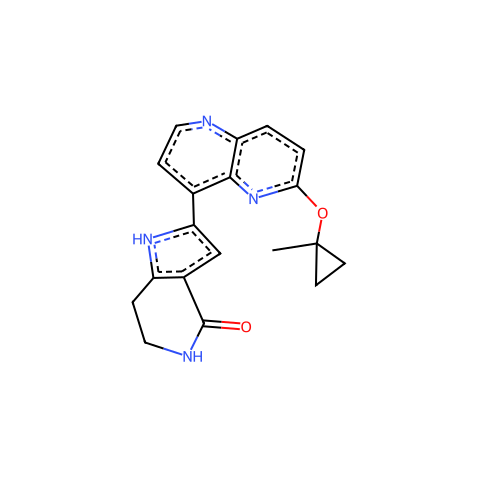 CC1(Oc2ccc3nccc(-c4cc5c([nH]4)CCNC5=O)c3n2)CC1